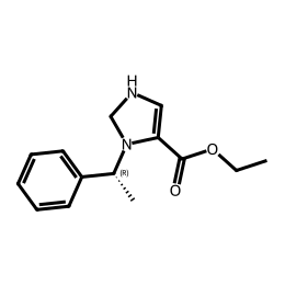 CCOC(=O)C1=CNCN1[C@H](C)c1ccccc1